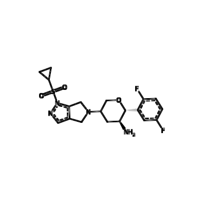 N[C@H]1CC(N2Cc3cnn(S(=O)(=O)C4CC4)c3C2)CO[C@@H]1c1cc(F)ccc1F